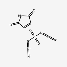 O=C1C=CC(=O)N1.[N-]=[N+]=NS(=O)(=O)N=[N+]=[N-]